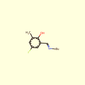 CCCCN=Cc1cc(F)cc(C)c1O